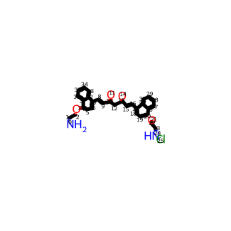 NCCOc1ccc(/C=C/C(=O)CC(=O)/C=C/c2ccc(OCCNCl)c3ccccc23)c2ccccc12